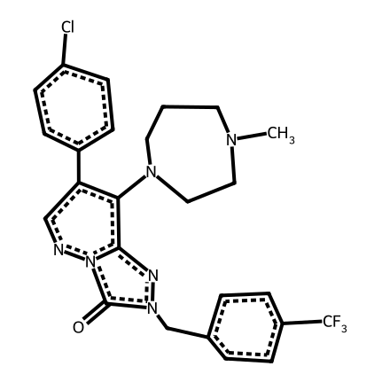 CN1CCCN(c2c(-c3ccc(Cl)cc3)cnn3c(=O)n(Cc4ccc(C(F)(F)F)cc4)nc23)CC1